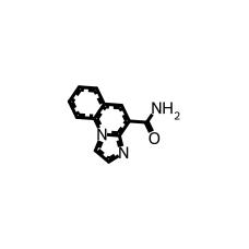 NC(=O)c1cc2ccccc2n2ccnc12